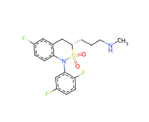 CNCCC[C@H]1Cc2cc(F)ccc2N(c2cc(F)ccc2F)S1(=O)=O